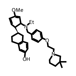 CCN(Cc1ccc(OCCN2CCCC(C)(C)C2)cc1)C1C=C(OC)C=CC1[C@@H]1CCc2cc(O)ccc2C1